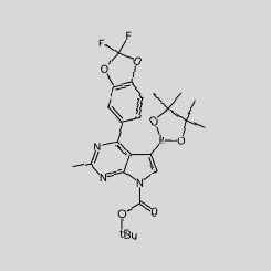 Cc1nc(-c2ccc3c(c2)OC(F)(F)O3)c2c(B3OC(C)(C)C(C)(C)O3)cn(C(=O)OC(C)(C)C)c2n1